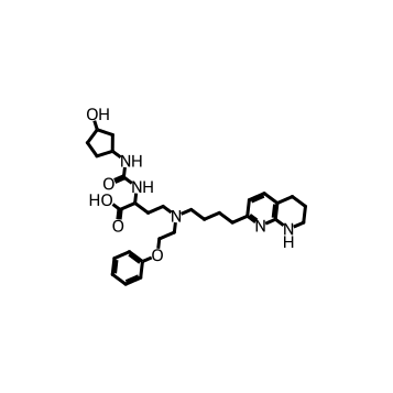 O=C(NC1CCC(O)C1)NC(CCN(CCCCc1ccc2c(n1)NCCC2)CCOc1ccccc1)C(=O)O